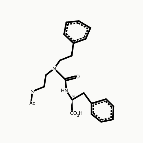 CC(=O)SCCN(CCc1ccccc1)C(=O)N[C@@H](Cc1ccccc1)C(=O)O